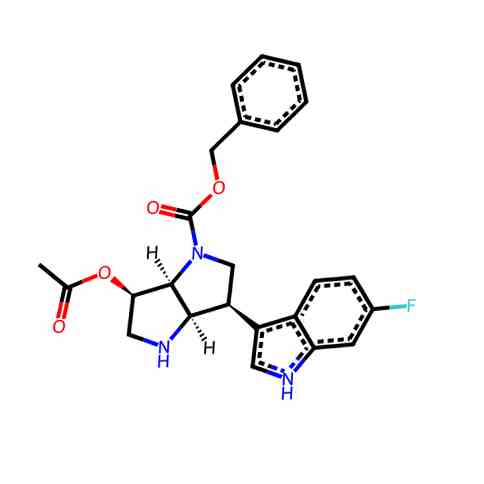 CC(=O)O[C@@H]1CN[C@H]2[C@@H]1N(C(=O)OCc1ccccc1)C[C@H]2c1c[nH]c2cc(F)ccc12